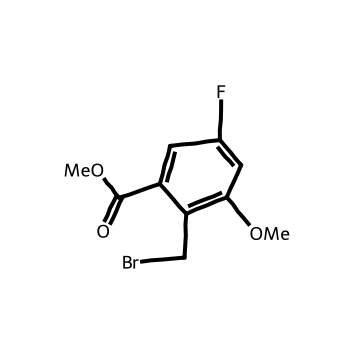 COC(=O)c1cc(F)cc(OC)c1CBr